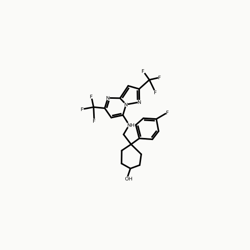 OC1CCC(CNc2cc(C(F)(F)F)nc3cc(C(F)(F)F)nn23)(c2ccc(F)cc2)CC1